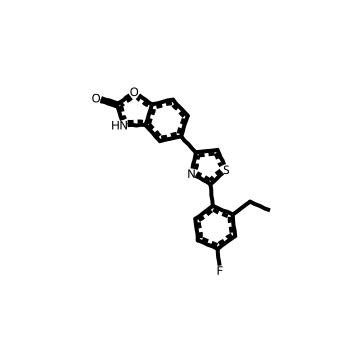 CCc1cc(F)ccc1-c1nc(-c2ccc3oc(=O)[nH]c3c2)cs1